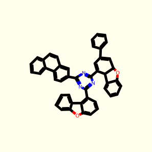 C1=C(c2ccccc2)C=C(c2nc(-c3ccc4c(ccc5ccccc54)c3)nc(-c3cccc4oc5ccccc5c34)n2)C2c3ccccc3OC12